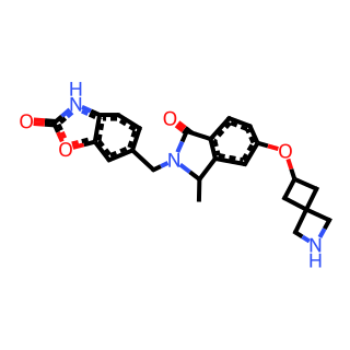 CC1c2cc(OC3CC4(CNC4)C3)ccc2C(=O)N1Cc1ccc2[nH]c(=O)oc2c1